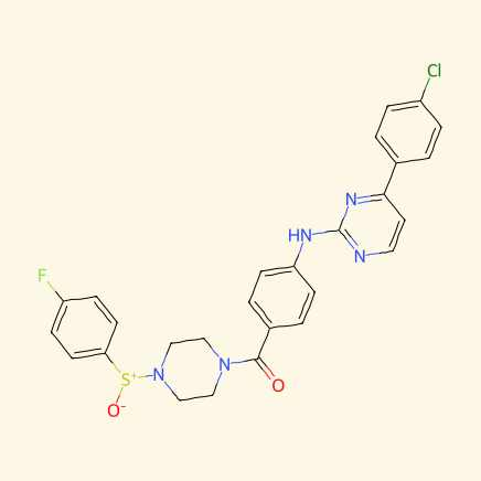 O=C(c1ccc(Nc2nccc(-c3ccc(Cl)cc3)n2)cc1)N1CCN([S+]([O-])c2ccc(F)cc2)CC1